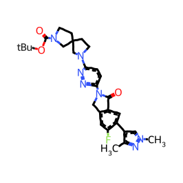 Cc1nn(C)cc1-c1cc2c(cc1F)CN(c1ccc(N3CCC4(CCN(C(=O)OC(C)(C)C)C4)C3)nn1)C2=O